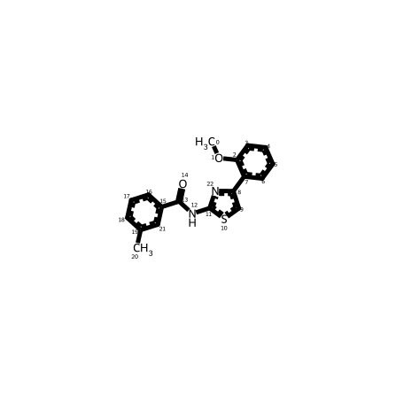 COc1ccccc1-c1csc(NC(=O)c2cccc(C)c2)n1